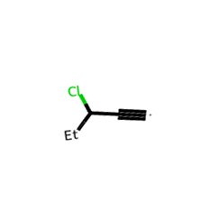 [C]#CC(Cl)CC